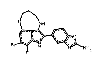 Nc1nc2cc(-c3[nH]c4c(F)c(Br)cc5c4c3NCCCO5)ccc2o1